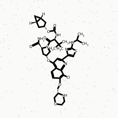 CC(C)Nc1nc(-c2cc(O[C@@H]3C[C@@H](C(N)=O)N(C(=O)[C@@H](NC(=O)O[C@@H]4C[C@@H]5C[C@@H]5C4)C(C)(C)C)C3)c3ccc(OC[C@H]4COCCN4)c(Cl)c3n2)cs1